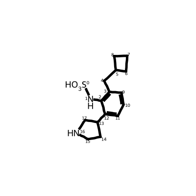 O=S(=O)(O)Nc1c(CC2CCC2)cccc1C1CCNC1